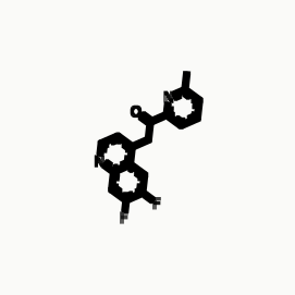 Cc1cccc(C(=O)Cc2ccnc3cc(F)c(F)cc23)n1